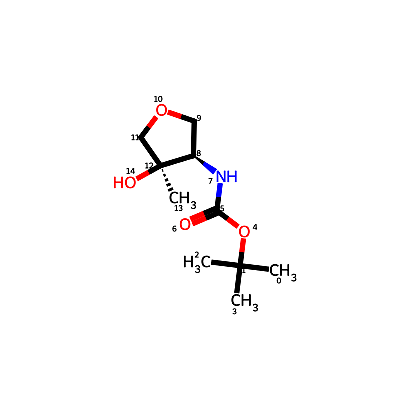 CC(C)(C)OC(=O)N[C@@H]1COC[C@]1(C)O